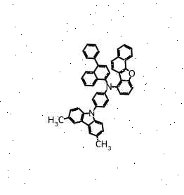 Cc1ccc2c(c1)c1cc(C)ccc1n2-c1ccc(N(c2ccc(-c3ccccc3)c3ccccc23)c2cccc3oc4c5ccccc5ccc4c23)cc1